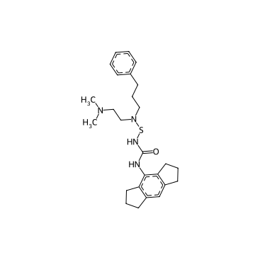 CN(C)CCN(CCCc1ccccc1)SNC(=O)Nc1c2c(cc3c1CCC3)CCC2